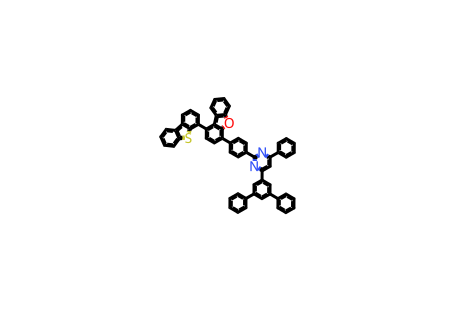 c1ccc(-c2cc(-c3ccccc3)cc(-c3cc(-c4ccccc4)nc(-c4ccc(-c5ccc(-c6cccc7c6sc6ccccc67)c6c5oc5ccccc56)cc4)n3)c2)cc1